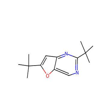 CC(C)(C)c1ncc2oc(C(C)(C)C)cc2n1